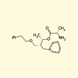 CC(C)CCOC[C@@H](Cc1ccccc1)[C@H](C)OC(=O)[C@H](C)N